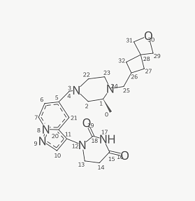 C[C@H]1CN(Cc2ccn3ncc(N4CCC(=O)NC4=O)c3c2)CCN1CC1CC2(COC2)C1